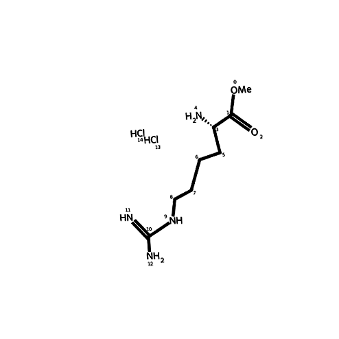 COC(=O)[C@@H](N)CCCCNC(=N)N.Cl.Cl